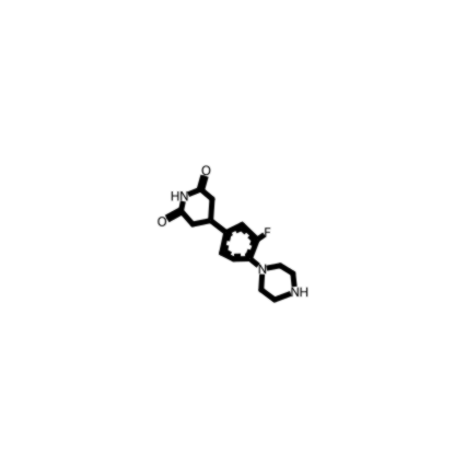 O=C1CC(c2ccc(N3CCNCC3)c(F)c2)CC(=O)N1